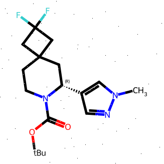 Cn1cc([C@H]2CC3(CCN2C(=O)OC(C)(C)C)CC(F)(F)C3)cn1